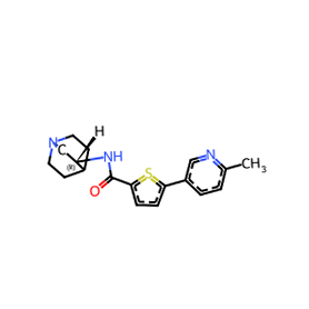 Cc1ccc(-c2ccc(C(=O)N[C@H]3CN4CCC3CC4)s2)cn1